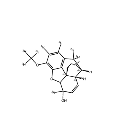 [2H]c1c([2H])c2c3c(c1OC([2H])([2H])[2H])OC1C([2H])(O)C=C[C@@]4([2H])[C@H](N(C)CC[C@]314)C2([2H])[2H]